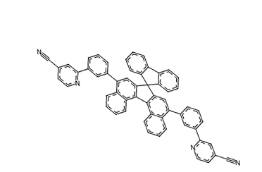 N#Cc1ccnc(-c2cccc(-c3cc4c(c5ccccc35)-c3c(cc(-c5cccc(-c6cc(C#N)ccn6)c5)c5ccccc35)C43c4ccccc4-c4ccccc43)c2)c1